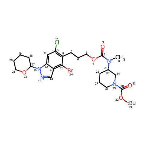 CN(C(=O)OCCCc1c(Cl)cc2c(cnn2C2CCCCO2)c1Br)[C@@H]1CCCN(C(=O)OC(C)(C)C)C1